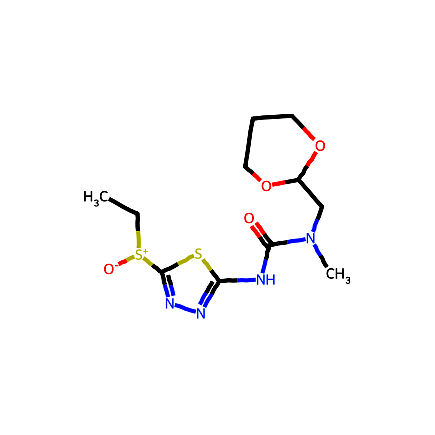 CC[S+]([O-])c1nnc(NC(=O)N(C)CC2OCCCO2)s1